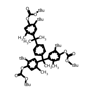 Cc1cc(OC(=O)OC(C)(C)C)c(C(C)(C)C)cc1C(C)(C)c1ccc(C(C)(c2cc(C(C)(C)C)c(OC(=O)OC(C)(C)C)cc2C)c2cc(C(C)(C)C)c(OC(=O)OC(C)(C)C)cc2C)cc1